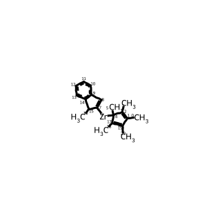 CC1=C(C)[C](C)([Zr][C]2=Cc3ccccc3C2C)C(C)=C1C